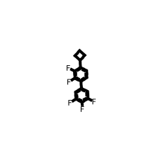 Fc1cc(-c2ccc(C3CCC3)c(F)c2F)cc(F)c1F